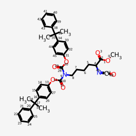 COC(=O)C(CCCCN(C(=O)Oc1ccc(C(C)(C)c2ccccc2)cc1)C(=O)Oc1ccc(C(C)(C)c2ccccc2)cc1)N=C=O